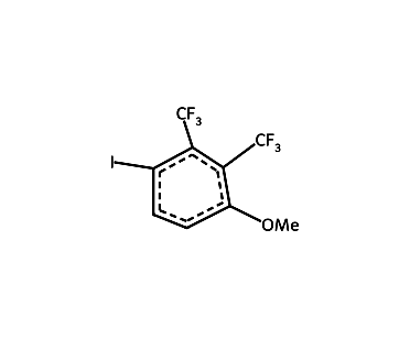 COc1ccc(I)c(C(F)(F)F)c1C(F)(F)F